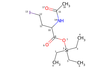 CC[Si](CC)(CC)OC(=O)C(CCI)NC(C)=O